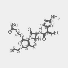 CCC=C(C(=O)N[C@@H]1C(=O)N2C(C(=O)OCOC(=O)C(C)(C)C)=C(COCCF)CS[C@@H]12)c1csc(N)n1